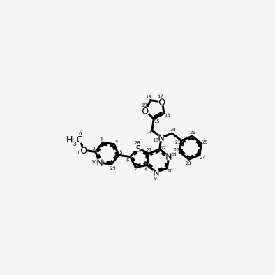 COc1ccc(-c2cc3ncnc(N(CC4=COCO4)Cc4ccccc4)c3s2)cn1